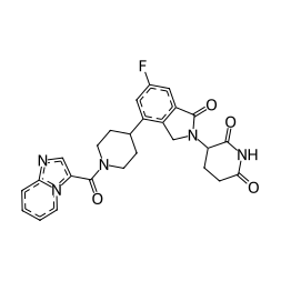 O=C1CCC(N2Cc3c(cc(F)cc3C3CCN(C(=O)c4cnc5ccccn45)CC3)C2=O)C(=O)N1